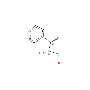 OC[C@H](O)[C@H](F)c1ccccc1